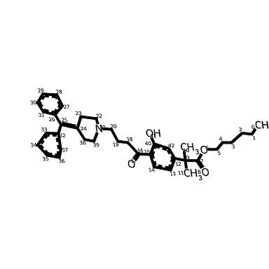 CCCCCCOC(=O)C(C)(C)c1ccc(C(=O)CCCN2CCC(=C(c3ccccc3)c3ccccc3)CC2)c(O)c1